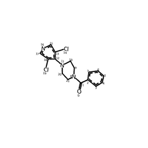 O=C(c1ccccc1)N1CCN(c2c(Cl)cncc2Cl)CC1